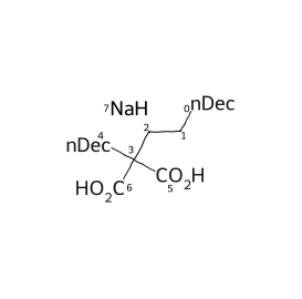 CCCCCCCCCCCCC(CCCCCCCCCC)(C(=O)O)C(=O)O.[NaH]